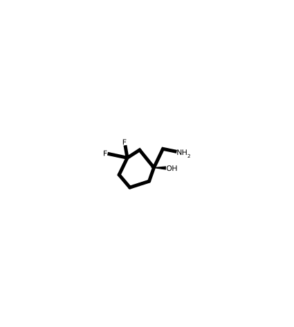 NC[C@]1(O)CCCC(F)(F)C1